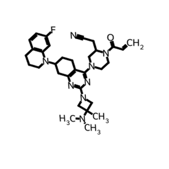 C=CC(=O)N1CCN(c2nc(N3CC(C)(N(C)C)C3)nc3c2CCC(N2CCCc4ccc(F)cc42)C3)CC1CC#N